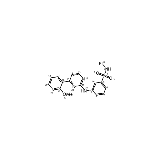 CCNS(=O)(=O)c1cccc(Nc2nccc(-c3cccnc3OC)n2)c1